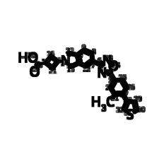 Cc1cc(-c2nc(-c3ccc4c(c3)CN([C@H]3C[C@H](C(=O)O)C3)C4)no2)ccc1-c1ccsc1